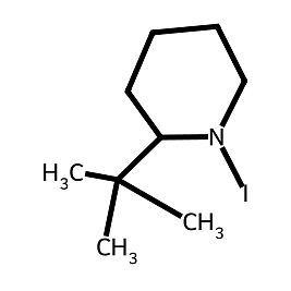 CC(C)(C)C1CCCCN1I